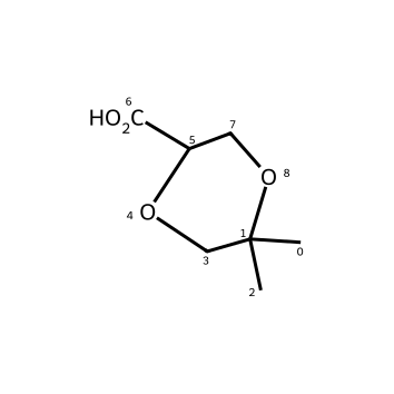 CC1(C)COC(C(=O)O)CO1